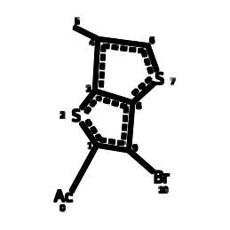 CC(=O)c1sc2c(C)csc2c1Br